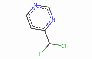 FC(Cl)c1ccn[c]n1